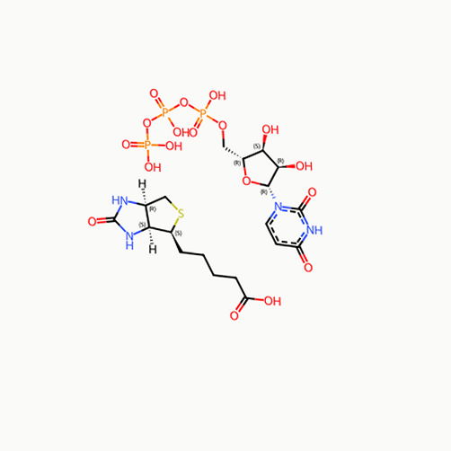 O=C(O)CCCC[C@@H]1SC[C@@H]2NC(=O)N[C@@H]21.O=c1ccn([C@@H]2O[C@H](COP(=O)(O)OP(=O)(O)OP(=O)(O)O)[C@@H](O)[C@H]2O)c(=O)[nH]1